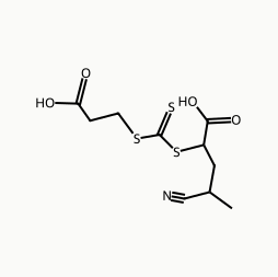 CC(C#N)CC(SC(=S)SCCC(=O)O)C(=O)O